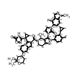 C[C@H]1c2c(nn(-c3ccc(F)c(C4CC4)c3)c2-n2ccn(-c3ccc4c(cnn4C)c3F)c2=O)CCN1C(=O)c1cc2cc([C@H]3CCOC(C)(C)C3)ccn2c1C1(c2noc(=O)[nH]2)CC1